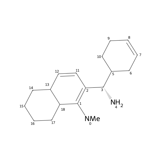 CNC1=C([C@@H](N)C2CC=CCC2)C=CC2CCCCC12